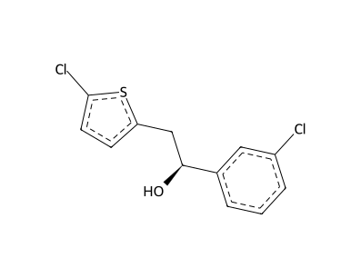 O[C@@H](Cc1ccc(Cl)s1)c1cccc(Cl)c1